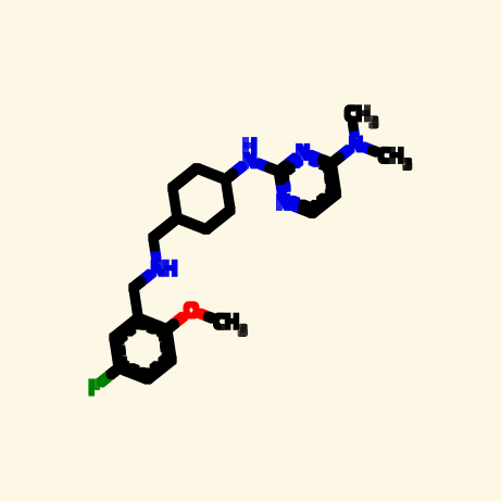 COc1ccc(F)cc1CNCC1CCC(Nc2nccc(N(C)C)n2)CC1